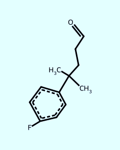 CC(C)(CCC=O)c1ccc(F)cc1